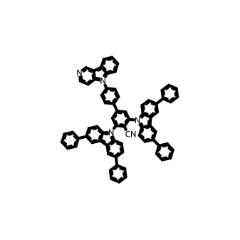 N#Cc1c(-n2c3ccc(-c4ccccc4)cc3c3cc(-c4ccccc4)ccc32)cc(-c2ccc(-n3c4ccccc4c4cnccc43)cc2)cc1-n1c2ccc(-c3ccccc3)cc2c2cc(-c3ccccc3)ccc21